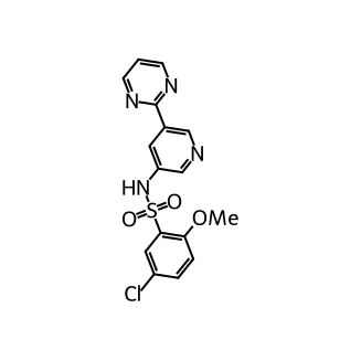 COc1ccc(Cl)cc1S(=O)(=O)Nc1cncc(-c2ncccn2)c1